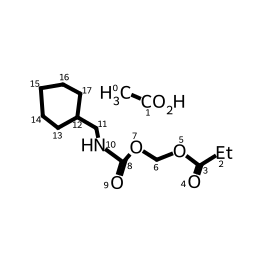 CC(=O)O.CCC(=O)OCOC(=O)NCC1CCCCC1